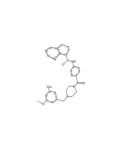 COc1cc(O)cc(CN2CCN(C(=O)c3ccc(N[S+]([O-])c4cccc5cccnc45)cc3)CC2)c1